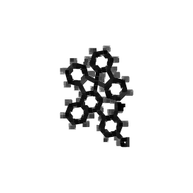 Clc1ccc(-c2cc3c(c4ccccc24)-c2ccccc2C32c3ccccc3-c3ccccc32)c(Br)c1